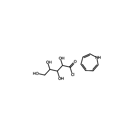 C1=CC=CNC=C1.O=C(Cl)C(O)C(O)C(O)CO